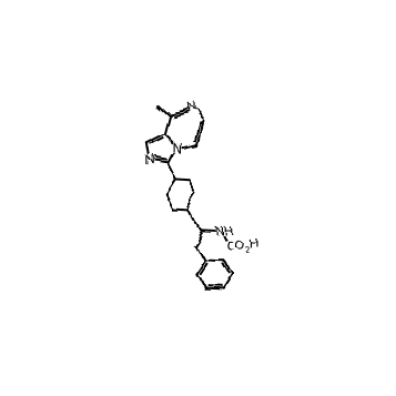 Cc1nccn2c(C3CCC(C(Cc4ccccc4)NC(=O)O)CC3)ncc12